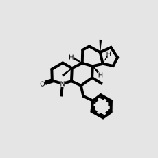 CC1C(Cc2ccccc2)C2N(C)C(=O)CC[C@]2(C)[C@@H]2CC[C@]3(C)CCC[C@H]3[C@H]12